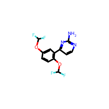 Nc1nccc(-c2cc(OC(F)F)ccc2OC(F)F)n1